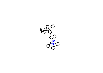 CC1(C)c2cc(-c3ccc(-c4cc(-c5ccccc5-c5ccccc5)nc(-c5ccccc5)n4)c4ccccc34)ccc2-c2c(-c3ccccc3)cccc21